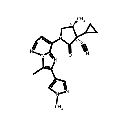 C[C@@H]1CN(c2ccnn3c(F)c(-c4cnn(C)c4)nc23)C(=O)[C@]1(C#N)C1CC1